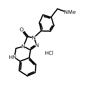 CNCc1ccc(-n2nc3n(c2=O)CNc2ccccc2-3)cc1.Cl